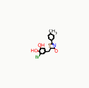 Cc1ccc(C2=NC(=O)C(Cc3cc(O)c(O)c(Br)c3)S2)cc1